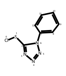 ClSc1nnnn1-c1ccccc1